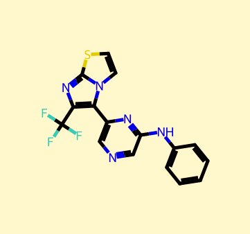 FC(F)(F)c1nc2sccn2c1-c1cncc(Nc2ccccc2)n1